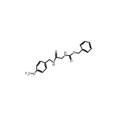 O=C(CNC(=O)OCc1ccccc1)NCc1ccc(OC(F)(F)F)cc1